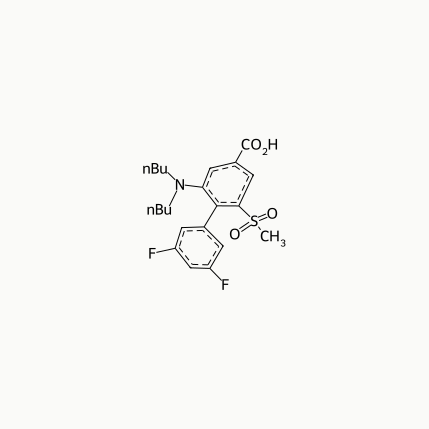 CCCCN(CCCC)c1cc(C(=O)O)cc(S(C)(=O)=O)c1-c1cc(F)cc(F)c1